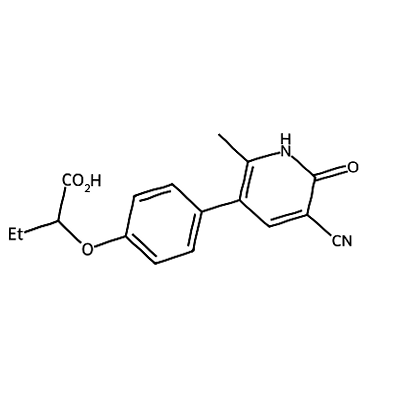 CCC(Oc1ccc(-c2cc(C#N)c(=O)[nH]c2C)cc1)C(=O)O